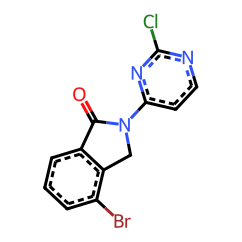 O=C1c2cccc(Br)c2CN1c1ccnc(Cl)n1